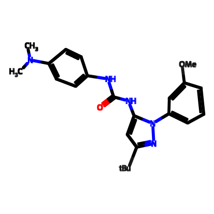 COc1cccc(-n2nc(C(C)(C)C)cc2NC(=O)Nc2ccc(N(C)C)cc2)c1